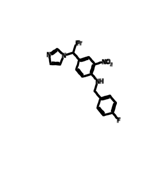 CC(C)C(c1ccc(NCc2ccc(F)cc2)c([N+](=O)[O-])c1)n1ccnc1